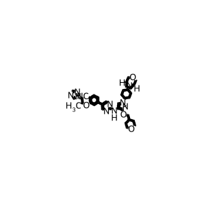 C[C@@H](Cn1cncn1)Oc1cc(-c2cnc(Nc3cn(C4CCC(N5[C@@H]6CC[C@H]5COC6)CC4)nc3OCC3CCOCC3)nc2)ccc1C#N